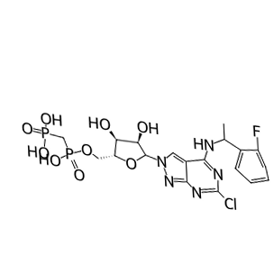 CC(Nc1nc(Cl)nc2nn(C3O[C@H](COP(=O)(O)CP(=O)(O)O)[C@@H](O)[C@H]3O)cc12)c1ccccc1F